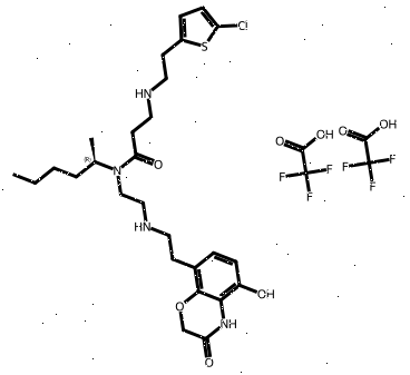 CCCC[C@@H](C)N(CCNCCc1ccc(O)c2c1OCC(=O)N2)C(=O)CCNCCc1ccc(Cl)s1.O=C(O)C(F)(F)F.O=C(O)C(F)(F)F